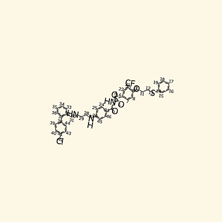 O=C(NS(=O)(=O)c1ccc(OCCSc2ccccc2)c(C(F)(F)F)c1)c1ccc(NCCNCc2ccccc2-c2ccc(Cl)cc2)cc1